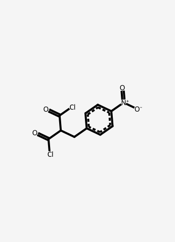 O=C(Cl)C(Cc1ccc([N+](=O)[O-])cc1)C(=O)Cl